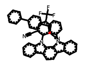 N#Cc1cc(C(F)(F)F)cc(C#N)c1-n1c2ccccc2c2ccc3c4ccccc4n(-c4cccc(-c5ccc(-c6ccccc6)cc5)c4)c3c21